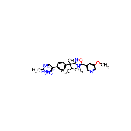 C=C(N)/N=C\C(=C/N)c1ccc(C(C)(c2noc(-c3cncc(OC)c3)n2)C(C)C)cc1